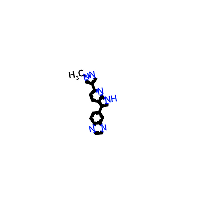 Cn1cc(-c2ccc3c(-c4ccc5nccnc5c4)c[nH]c3n2)cn1